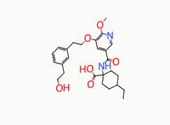 CCC1CCC(NC(=O)c2cnc(OC)c(OCCc3cccc(CCO)c3)c2)(C(=O)O)CC1